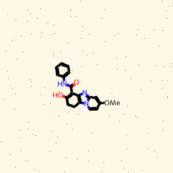 COc1ccn2c3c(nc2c1)C(C(=O)Nc1ccccc1)=C(O)CC3